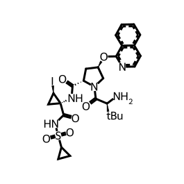 CC(C)(C)[C@H](N)C(=O)N1C[C@H](Oc2nccc3ccccc23)C[C@H]1C(=O)N[C@]1(C(=O)NS(=O)(=O)C2CC2)C[C@H]1I